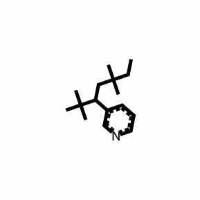 CCC(C)(C)CC(c1cccnc1)C(C)(C)C